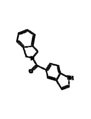 O=C(c1ccc2[nH]ccc2c1)N1Cc2ccccc2C1